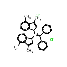 CC1=C[CH]([Ti+2](=[C](c2ccccc2)c2ccccc2)[CH]2C=C(C)c3c(C)cccc32)c2cccc(C)c21.[Cl-].[Cl-]